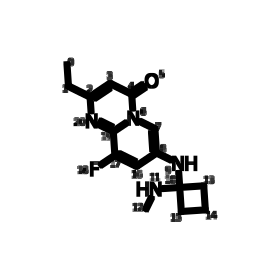 CCc1cc(=O)n2cc(NC3(NC)CCC3)cc(F)c2n1